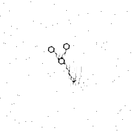 COC(=O)CNC[C@@H](O)COc1ccc(OCc2ccccc2)c(OCc2ccccc2)c1